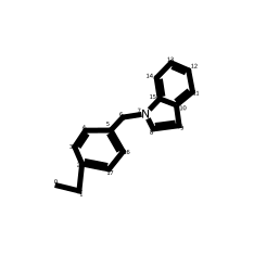 CCc1ccc(Cn2ccc3ccccc32)cc1